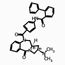 CN(C)[C@@H]1C[C@@H]2CN(C(=O)c3ccc(NC(=O)c4ccccc4-c4ccccc4)cc3)c3ccccc3C(=O)N2C1